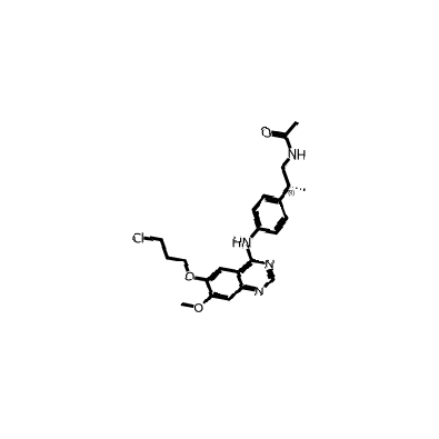 COc1cc2ncnc(Nc3ccc([C@@H](C)CNC(C)=O)cc3)c2cc1OCCCCl